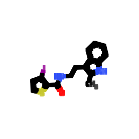 Cc1[nH]c2ccccc2c1CCNC(=O)c1sccc1I